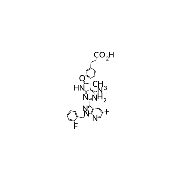 CC1(c2ccc(CCC(=O)O)cc2)C(=O)Nc2nc(-c3nn(Cc4ccccc4F)c4ncc(F)cc34)nc(N)c21